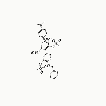 COc1cc(-c2ccc(N(C)C)cc2)c(OC)c(OS(C)(=O)=O)c1-c1ccc(OCc2ccccc2)c(OS(C)(=O)=O)c1